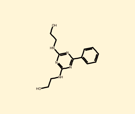 OCCNc1nc(NCCO)nc(-c2ccccc2)n1